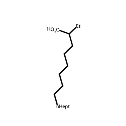 CCCCCCCCCCCCCC(CC)C(=O)O